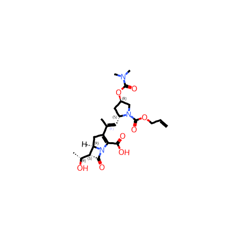 C=CCOC(=O)N1C[C@H](OC(=O)N(C)C)C[C@H]1/C=C(\C)C1=C(C(=O)O)N2C(=O)[C@H]([C@@H](C)O)[C@H]2C1